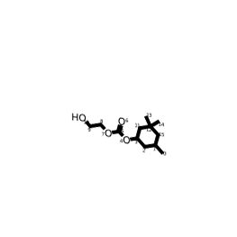 CC1CC(OC(=O)OCCO)CC(C)(C)C1